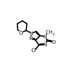 Cn1c(=O)nc(Cl)c2nn(C3CCCCO3)cc21